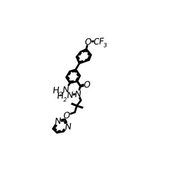 CC(C)(COc1ncccn1)CN(N)C(=O)c1cc(-c2ccc(OC(F)(F)F)cc2)ccc1N